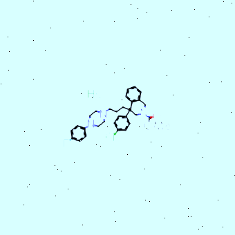 COC(=O)N1Cc2ccccc2C(CCCN2CCN(c3ccc(F)cc3)CC2)(c2ccc(Cl)cc2)C1.Cl